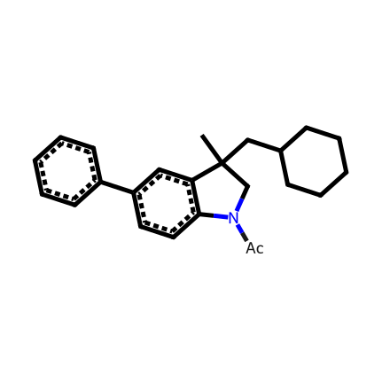 CC(=O)N1CC(C)(CC2CCCCC2)c2cc(-c3ccccc3)ccc21